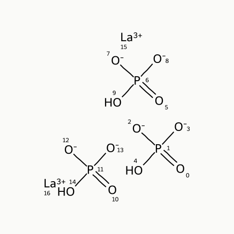 O=P([O-])([O-])O.O=P([O-])([O-])O.O=P([O-])([O-])O.[La+3].[La+3]